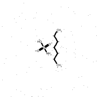 CCCCCCC.NS(=O)(=O)O